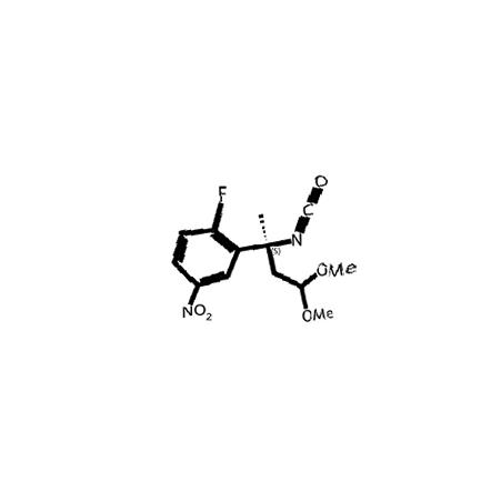 COC(C[C@](C)(N=C=O)c1cc([N+](=O)[O-])ccc1F)OC